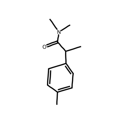 Cc1ccc(C(C)C(=O)N(C)C)cc1